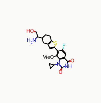 COc1c(-c2cc3c(s2)CCC(C(N)CO)C3)c(F)cc2c(=O)[nH]c(=O)n(C3CC3)c12